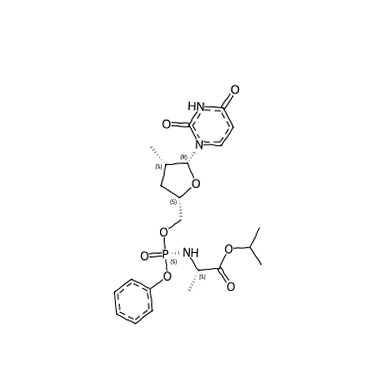 CC(C)OC(=O)[C@H](C)N[P@](=O)(OC[C@@H]1C[C@H](C)[C@H](n2ccc(=O)[nH]c2=O)O1)Oc1ccccc1